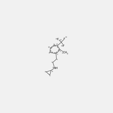 Cc1c(CCNC2CC2)cccc1C(F)(F)F